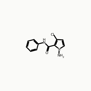 Nn1ccc(Cl)c1C(=O)Nc1ccccc1